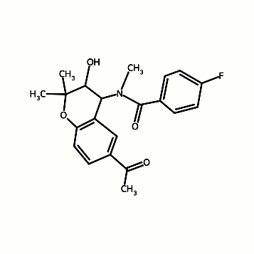 CC(=O)c1ccc2c(c1)C(N(C)C(=O)c1ccc(F)cc1)C(O)C(C)(C)O2